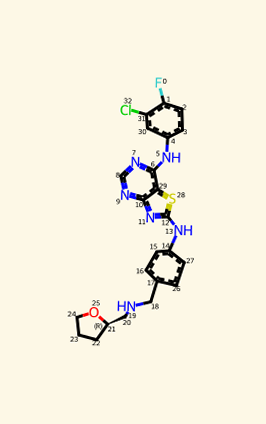 Fc1ccc(Nc2ncnc3nc(Nc4ccc(CNC[C@H]5CCCO5)cc4)sc23)cc1Cl